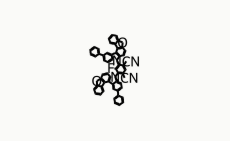 N#Cc1cc(C#N)c(-n2c3ccc(-c4ccccc4)cc3c3c4c(ccc32)oc2ccccc24)c(F)c1-n1c2ccc(-c3ccccc3)cc2c2c3c(ccc21)oc1ccccc13